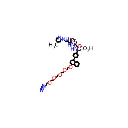 Cc1ccnc(NCCCC(=O)N[C@@H](CC(C)C)C(=O)N[C@@H](CC(=O)O)c2ccc(-c3ccc(OCCOCCOCCOCCOCCN=[N+]=[N-])c4ccccc34)cc2)c1